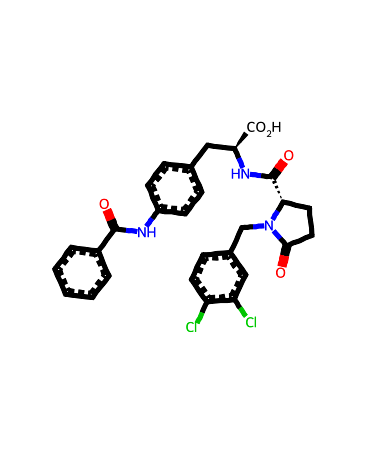 O=C(Nc1ccc(C[C@H](NC(=O)[C@@H]2CCC(=O)N2Cc2ccc(Cl)c(Cl)c2)C(=O)O)cc1)c1ccccc1